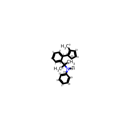 CC1=C(c2ccccc2C(C)(C)[N]([Ti])c2ccccc2)CC=C1